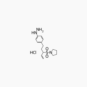 C=CC(CCc1ccc(NN)cc1)S(=O)(=O)N1CCCC1.Cl